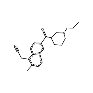 CCCN1CCCC(C(=O)c2ccc3c(CC#N)c(C)ccc3c2)C1